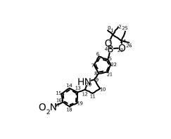 CC1(C)OB(c2ccc(C3CCC(c4ccc([N+](=O)[O-])cc4)N3)cc2)OC1(C)C